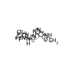 C=CC(=O)Nc1ccc2c(N3CC[C@@H](Nc4ncc(Cl)c(C(F)(F)F)n4)C3)ncnc2c1